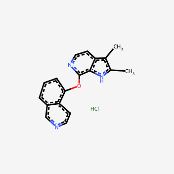 Cc1[nH]c2c(Oc3cccc4cnccc34)nccc2c1C.Cl